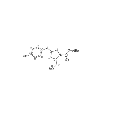 CC(C)(C)OC(=O)N1CC(Cc2ccc(F)cc2)CC1CO